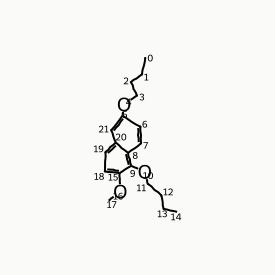 CCCCOc1ccc2c(OCCCC)c(OC)ccc2c1